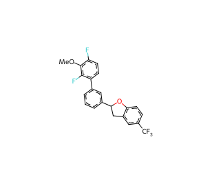 COc1c(F)ccc(-c2cccc(C3Cc4cc(C(F)(F)F)ccc4O3)c2)c1F